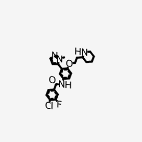 Cn1nccc1-c1cc(NC(=O)c2ccc(Cl)c(F)c2)ccc1OCCC1CCCCN1